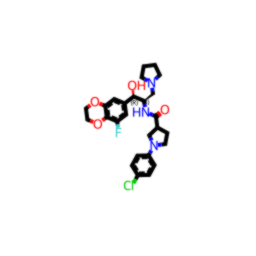 O=C(N[C@H](CN1CCCC1)[C@H](O)c1cc(F)c2c(c1)OCCO2)C1CCN(c2ccc(Cl)cc2)C1